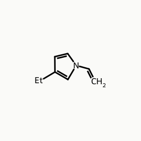 C=Cn1ccc(CC)c1